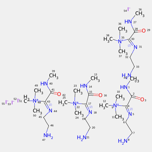 CNC(=O)/C(=N/CCN)[N+](C)(C)C.CNC(=O)/C(=N/CCN)[N+](C)(C)C.CNC(=O)/C(=N/CCN)[N+](C)(C)C.CNC(=O)/C(=N/CCN)[N+](C)(C)C.[I-].[I-].[I-].[I-]